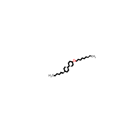 CCCCCCCCCO[C@H]1CC[C@H]([C@H]2CC[C@H](CCCCCC)CC2)CC1